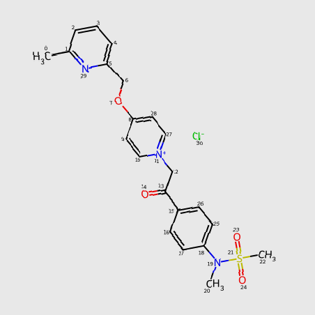 Cc1cccc(COc2cc[n+](CC(=O)c3ccc(N(C)S(C)(=O)=O)cc3)cc2)n1.[Cl-]